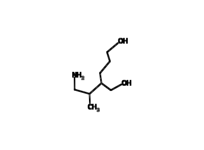 CC(CN)C(CO)CCCO